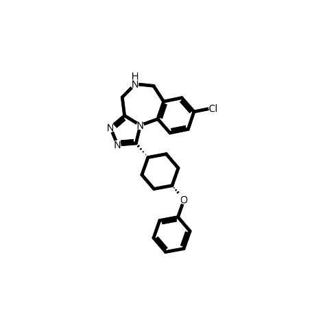 Clc1ccc2c(c1)CNCc1nnc([C@H]3CC[C@@H](Oc4ccccc4)CC3)n1-2